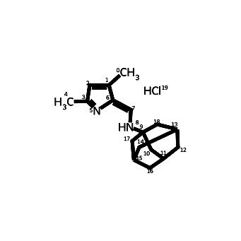 CC1=CC(C)=N/C1=C\NC12CC3CC(CC(C3)C1)C2.Cl